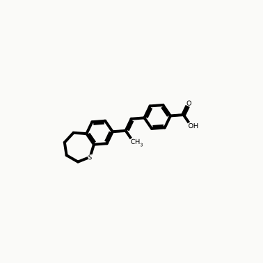 C/C(=C\c1ccc(C(=O)O)cc1)c1ccc2c(c1)SCCCC2